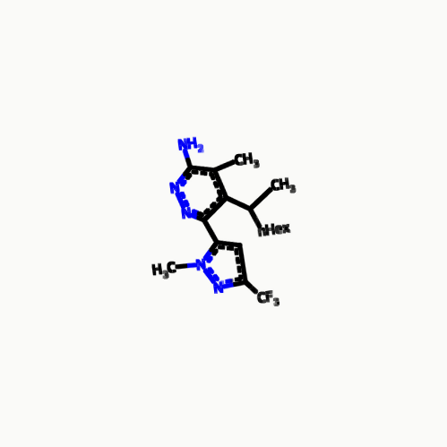 CCCCCCC(C)c1c(-c2cc(C(F)(F)F)nn2C)nnc(N)c1C